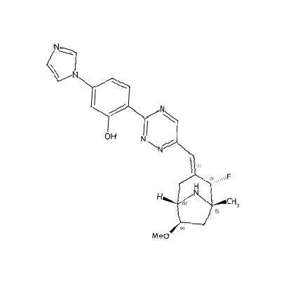 CO[C@@H]1C[C@]2(C)N[C@H]1C/C(=C\c1cnc(-c3ccc(-n4ccnc4)cc3O)nn1)[C@@H]2F